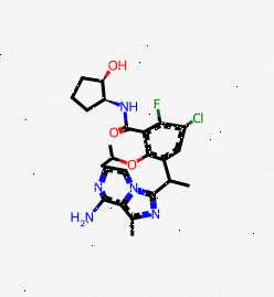 Cc1nc(C(C)c2cc(Cl)c(F)c(C(=O)N[C@H]3CCC[C@H]3O)c2OC(C)C)n2ccnc(N)c12